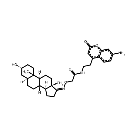 C[C@]12CC[C@@H](O)C[C@@H]1CC[C@@H]1[C@@H]2CC[C@]2(C)/C(=N\OCC(=O)NCCc3cc(=O)oc4cc(N)ccc34)CC[C@@H]12